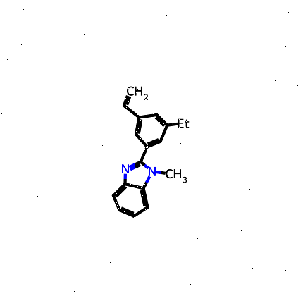 C=Cc1cc(CC)cc(-c2nc3ccccc3n2C)c1